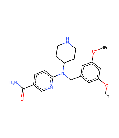 CC(C)Oc1cc(CN(c2ccc(C(N)=O)cn2)C2CCNCC2)cc(OC(C)C)c1